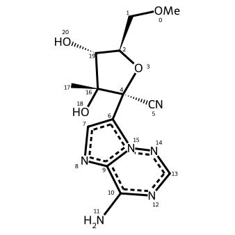 COC[C@H]1O[C@@](C#N)(c2cnc3c(N)ncnn23)[C@](C)(O)[C@@H]1O